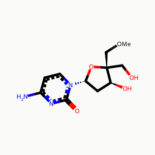 COC[C@]1(CO)O[C@@H](n2ccc(N)nc2=O)C[C@@H]1O